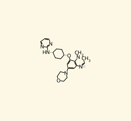 C=Nc1c(/N=C\C)cc(N2CCOCC2)cc1O[C@H]1CC[C@@H](Nc2ncccn2)CC1